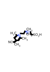 CC1=CC(=C(C)C#N)C=C(C)N1CCC[N+](C)(C)CCS(=O)(=O)O